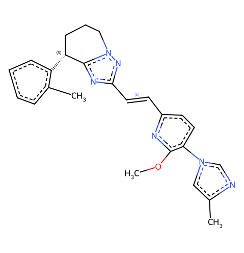 COc1nc(/C=C/c2nc3n(n2)CCC[C@H]3c2ccccc2C)ccc1-n1cnc(C)c1